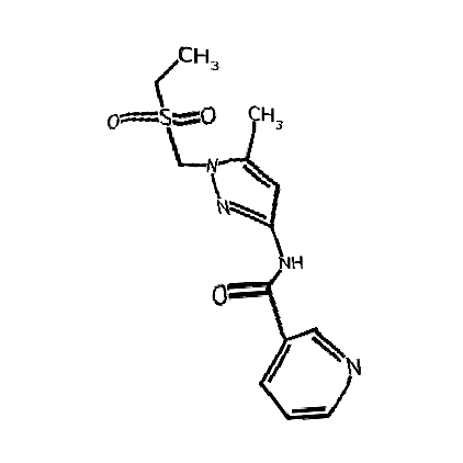 CCS(=O)(=O)Cn1nc(NC(=O)c2cccnc2)cc1C